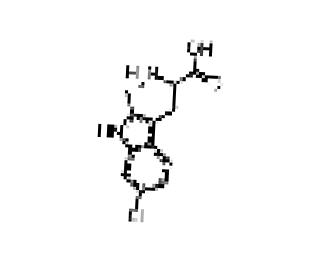 Cc1[nH]c2cc(Cl)ccc2c1CC(N)C(=O)O